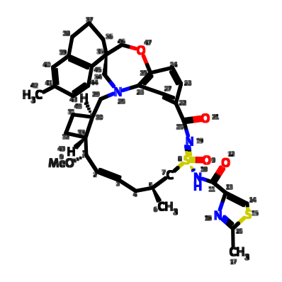 CO[C@H]1/C=C/C[C@H](C)C[S@@](=O)(NC(=O)c2csc(C)n2)=NC(=O)c2ccc3c(c2)N(C[C@@H]2CC[C@H]21)C[C@@]1(CCCc2cc(C)ccc21)CO3